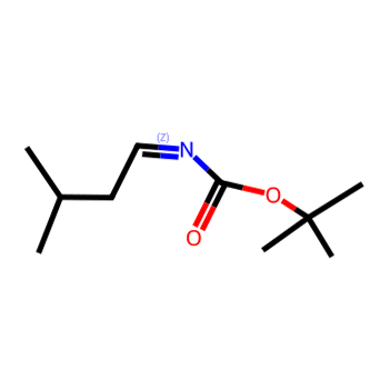 CC(C)C/C=N\C(=O)OC(C)(C)C